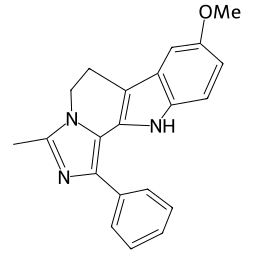 COc1ccc2[nH]c3c(c2c1)CCn1c(C)nc(-c2ccccc2)c1-3